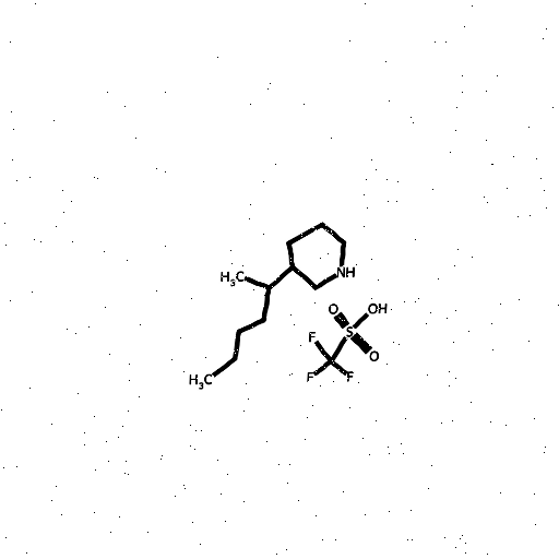 CCCCC(C)C1CCCNC1.O=S(=O)(O)C(F)(F)F